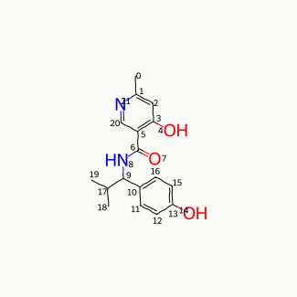 Cc1cc(O)c(C(=O)NC(c2ccc(O)cc2)C(C)C)cn1